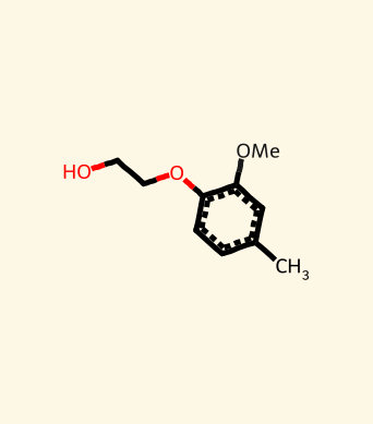 COc1cc(C)ccc1OCCO